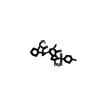 CCOC(=O)c1cc2c([C@H]3C[C@@]34C(=O)N(CC(F)(F)F)c3ccccc34)cn(C)c(=O)c2n1S(=O)(=O)c1ccc(C)cc1